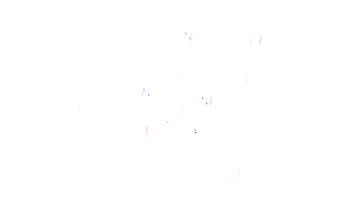 CCc1cccc(CNC[C@H](O)[C@H](Cc2cc(F)cc(F)c2)NC(=O)c2c(-n3cccc3)sc(C)c2C)c1